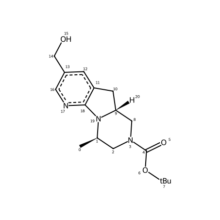 C[C@@H]1CN(C(=O)OC(C)(C)C)C[C@H]2Cc3cc(CO)cnc3N21